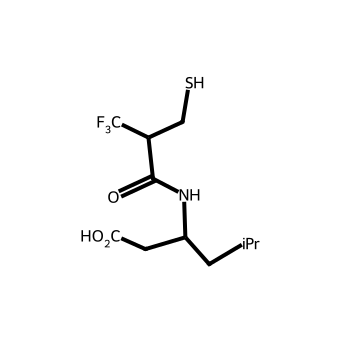 CC(C)CC(CC(=O)O)NC(=O)C(CS)C(F)(F)F